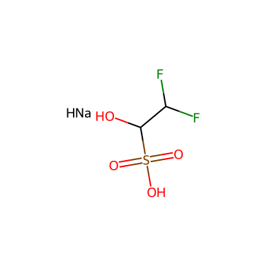 O=S(=O)(O)C(O)C(F)F.[NaH]